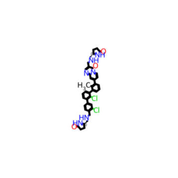 Cc1c(-c2ccn3c(=O)c(CNC[C@@H]4CCC(=O)N4)cnc3c2)cccc1-c1cccc(-c2ccc(CNC[C@H]3CCC(=O)N3)c(Cl)c2)c1Cl